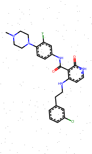 CN1CCN(c2ccc(NC(=O)c3c(NCCc4cccc(Cl)c4)cc[nH]c3=O)cc2F)CC1